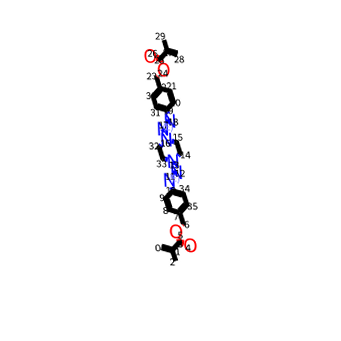 C=C(C)C(=O)OCc1ccc(/N=N/N2CCN(/N=N/c3ccc(COC(=O)C(=C)C)cc3)CC2)cc1